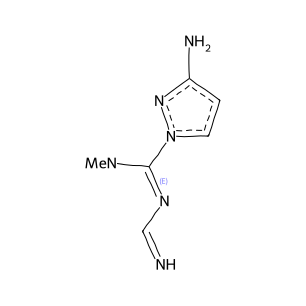 CN/C(=N\C=N)n1ccc(N)n1